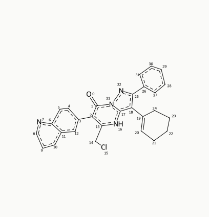 O=c1c(-c2ccc3ncccc3c2)c(CCl)[nH]c2c(C3=CCCCC3)c(-c3ccccc3)nn12